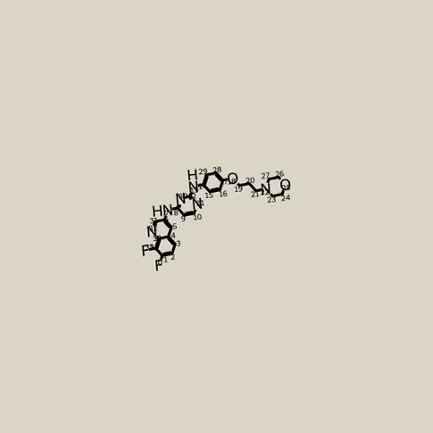 Fc1ccc2cc(Nc3ccnc(Nc4ccc(OCCCN5CCOCC5)cc4)n3)cnc2c1F